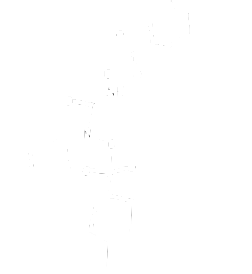 Cc1ccc(S(=O)(=O)ONC(=O)N(OS(=O)(=O)c2ccc(C)cc2)c2ccccc2)cc1